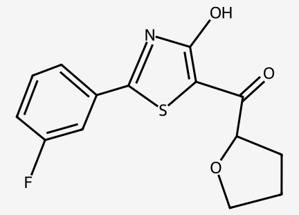 O=C(c1sc(-c2cccc(F)c2)nc1O)C1CCCO1